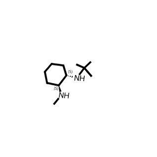 CN[C@H]1CCCC[C@@H]1NC(C)(C)C